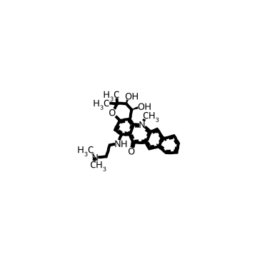 CN(C)CCNc1cc2c(c3c1c(=O)c1cc4ccccc4cc1n3C)[C@H](O)[C@H](O)C(C)(C)O2